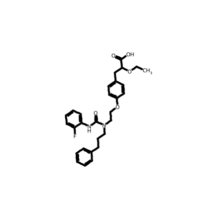 CCOC(Cc1ccc(OCCN(CCCc2ccccc2)C(=O)Nc2ccccc2F)cc1)C(=O)O